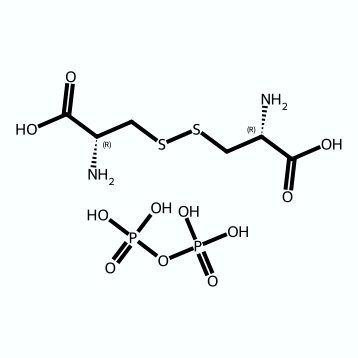 N[C@@H](CSSC[C@H](N)C(=O)O)C(=O)O.O=P(O)(O)OP(=O)(O)O